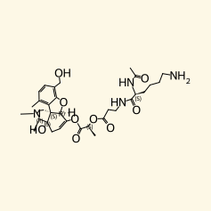 CC(=O)N[C@@H](CCCCN)C(=O)NCCC(=O)O[C@@H](C)C(=O)OC1=CC[C@@]2(O)[C@@H](C)N(C)CC[C@@]23c2c(C)ccc(CO)c2O[C@@H]13